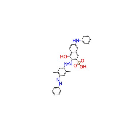 Cc1cc(N=Nc2c(S(=O)(=O)O)cc3cc(Nc4ccccc4)ccc3c2O)c(C)cc1N=Nc1ccccc1